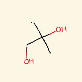 [CH2]C(C)(O)CO